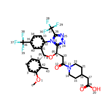 COc1cccc([C@H]2O[C@H](CC(=O)N3CCC(CC(=O)O)CC3)c3nnc(C(F)(F)F)n3-c3ccc(C(F)(F)F)cc32)c1C